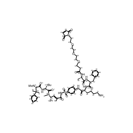 CN[C@H](C(=O)N[C@H](C(=O)N(C)[C@H](C=C(C)C(=O)NS(=O)(=O)c1ccc(NC(=O)[C@H](CCCCN)NC(=O)[C@H](Cc2ccccc2)NC(=O)[C@@H](C)NC(=O)CCOCCOCCOCCN2C(=O)C=CC2=O)cc1)C(C)C)C(C)(C)C)C(C)(C)c1ccccc1